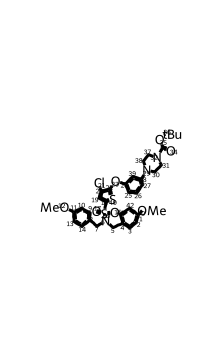 COc1ccc(CN(Cc2ccc(OC)cc2)S(=O)(=O)c2cc(Cl)c(Oc3cccc(N4CCN(C(=O)OC(C)(C)C)CC4)c3)s2)cc1